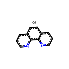 [Cd].c1cnc2c(c1)ccc1cccnc12